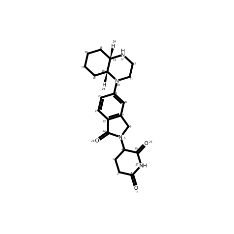 O=C1CCC(N2Cc3cc(N4CCN[C@H]5CCCC[C@H]54)ccc3C2=O)C(=O)N1